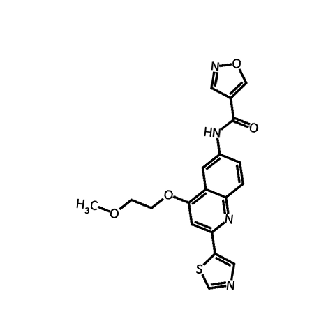 COCCOc1cc(-c2cncs2)nc2ccc(NC(=O)c3cnoc3)cc12